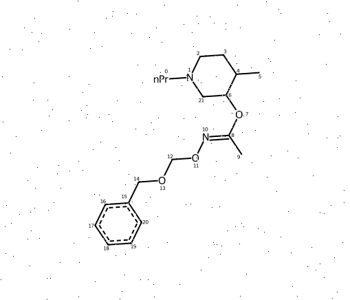 CCCN1CCC(C)C(OC(C)=NOCOCc2ccccc2)C1